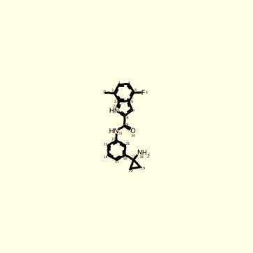 Cc1ccc(F)c2cc(C(=O)Nc3cccc(C4(N)CC4)c3)[nH]c12